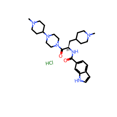 CN1CCC(C[C@@H](NC(=O)c2ccc3cc[nH]c3c2)C(=O)N2CCN(C3CCN(C)CC3)CC2)CC1.Cl